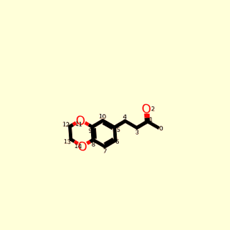 CC(=O)CCc1ccc2c(c1)OCCO2